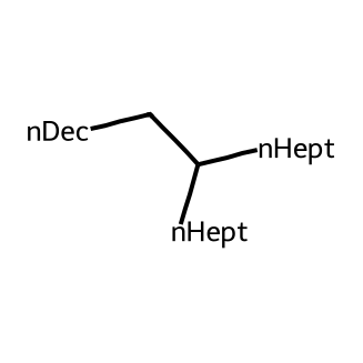 CCCCCCCCCCCC(CCCCCCC)CCCCCCC